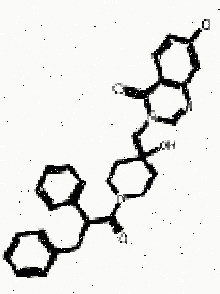 O=C(C(Cc1ccccc1)c1ccccc1)N1CCC(O)(Cn2cnc3cc(Cl)ccc3c2=O)CC1